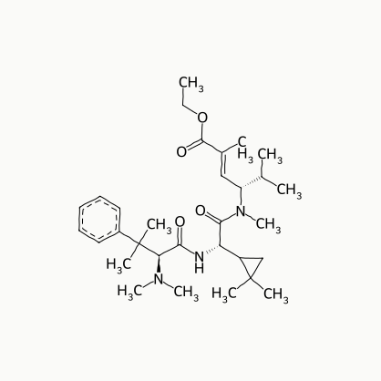 CCOC(=O)/C(C)=C/[C@H](C(C)C)N(C)C(=O)[C@@H](NC(=O)[C@@H](N(C)C)C(C)(C)c1ccccc1)C1CC1(C)C